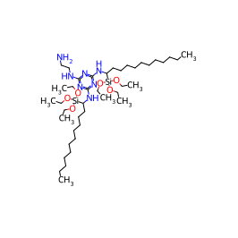 CCCCCCCCCCCC(Nc1nc(NCCN)nc(NC(CCCCCCCCCCC)[Si](OCC)(OCC)OCC)n1)[Si](OCC)(OCC)OCC